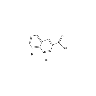 O=C(O)c1ccc2c(Br)cccc2c1.[In]